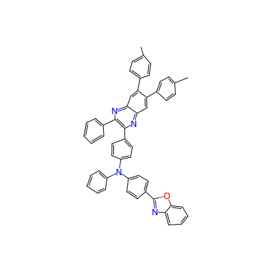 Cc1ccc(-c2cc3nc(-c4ccccc4)c(-c4ccc(N(c5ccccc5)c5ccc(-c6nc7ccccc7o6)cc5)cc4)nc3cc2-c2ccc(C)cc2)cc1